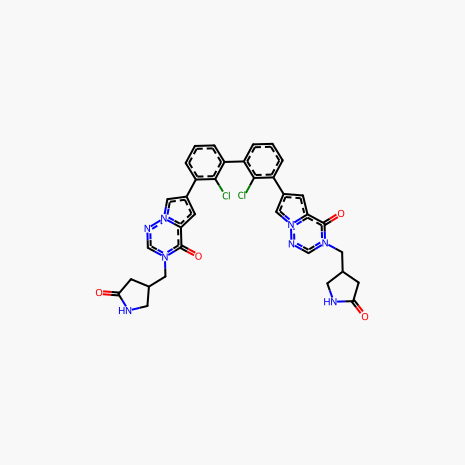 O=C1CC(Cn2cnn3cc(-c4cccc(-c5cccc(-c6cc7c(=O)n(CC8CNC(=O)C8)cnn7c6)c5Cl)c4Cl)cc3c2=O)CN1